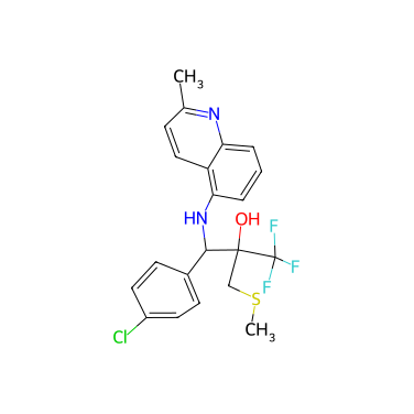 CSCC(O)(C(Nc1cccc2nc(C)ccc12)c1ccc(Cl)cc1)C(F)(F)F